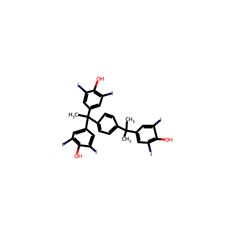 CC(C)(c1ccc(C(C)(c2cc(I)c(O)c(I)c2)c2cc(I)c(O)c(I)c2)cc1)c1cc(I)c(O)c(I)c1